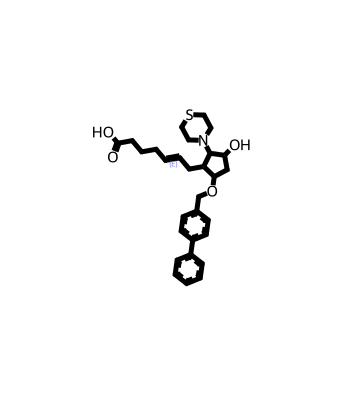 O=C(O)CCC/C=C/CC1C(OCc2ccc(-c3ccccc3)cc2)CC(O)C1N1CCSCC1